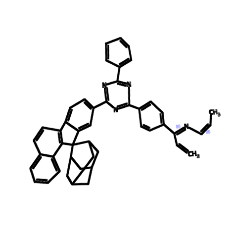 C=C/C(=N\C=C/C)c1ccc(-c2nc(-c3ccccc3)nc(-c3ccc4c(c3)C3(c5c-4ccc4ccccc54)C4CC5CC(C4)CC3C5)n2)cc1